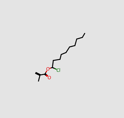 C=C(C)C(=O)OC(Cl)CCCCCCCCC